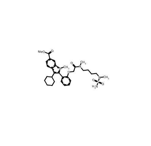 COC(=O)c1ccc2c(C3CCCCC3)c(-c3ccccc3OCC(=O)N(C)CCCCN(C)S(N)(=O)=O)n(C)c2c1